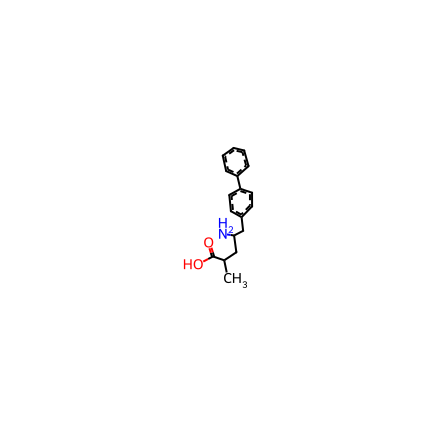 CC(CC(N)Cc1ccc(-c2ccccc2)cc1)C(=O)O